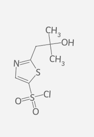 CC(C)(O)Cc1ncc(S(=O)(=O)Cl)s1